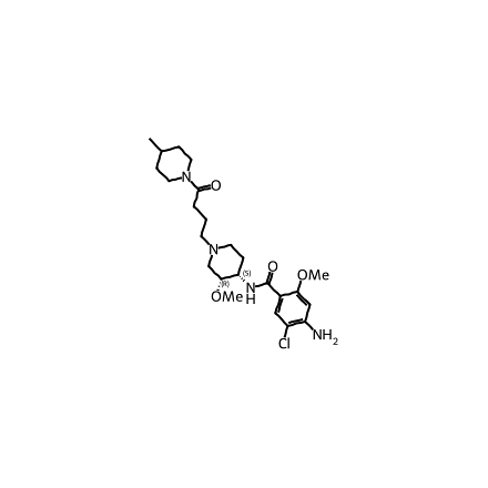 COc1cc(N)c(Cl)cc1C(=O)N[C@H]1CCN(CCCC(=O)N2CCC(C)CC2)C[C@H]1OC